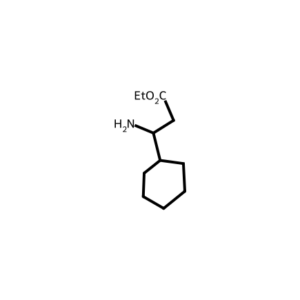 CCOC(=O)CC(N)C1CCCCC1